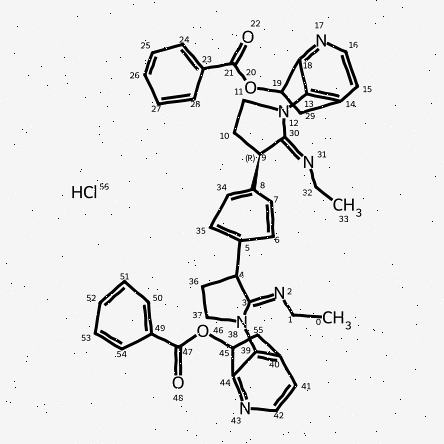 CCN=C1C(c2ccc([C@H]3CCN(c4c5ccnc4C(OC(=O)c4ccccc4)C5)C3=NCC)cc2)CCN1c1c2ccnc1C(OC(=O)c1ccccc1)C2.Cl